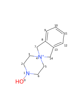 ON1CC[N+]2(CC1)Cc1ccccc1C2